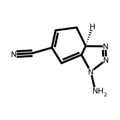 N#CC1=CC[C@H]2N=NN(N)C2=C1